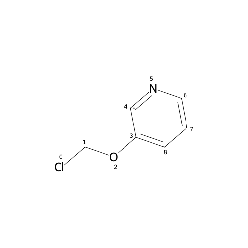 ClCOc1[c]nccc1